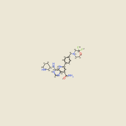 NC(=O)c1cc(-c2ccc(CN3CCOC(F)(F)C3)cc2)nc2c(N[C@H]3CCCNC3)ncnc12